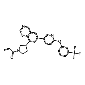 C=CC(=O)N1CCC(c2cc(-c3ccc(Oc4cccc(C(F)(F)F)c4)nc3)cc3cncnc23)C1